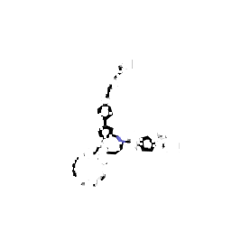 CCCCOCCOc1ccc(-c2ccc3c(c2)/C=C(/C(=O)Nc2ccc([S+](C)[O-])cc2)CCCN3CC2CCCCCCCCCCCCCC2)cc1